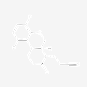 N#CCC[C@@H]1C(=O)CCC2c3c(F)ccc(F)c3OC[C@H]21